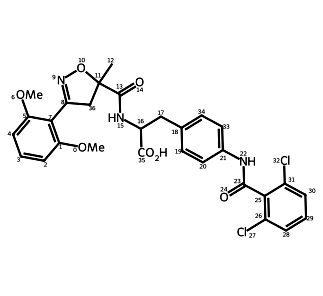 COc1cccc(OC)c1C1=NOC(C)(C(=O)NC(Cc2ccc(NC(=O)c3c(Cl)cccc3Cl)cc2)C(=O)O)C1